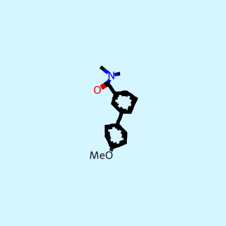 COc1ccc(-c2cccc(C(=O)N(C)C)c2)cc1